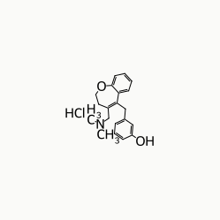 CN(C)CC1=C(Cc2cccc(O)c2)c2ccccc2OCC1.Cl